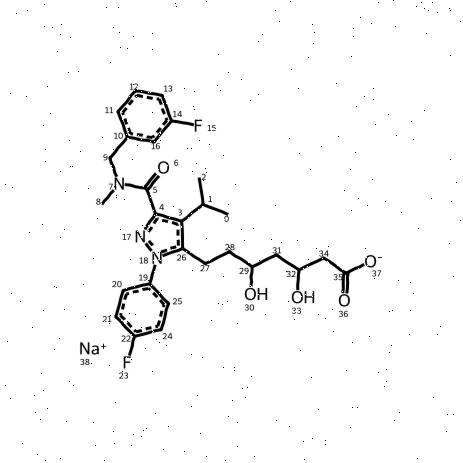 CC(C)c1c(C(=O)N(C)Cc2cccc(F)c2)nn(-c2ccc(F)cc2)c1CCC(O)CC(O)CC(=O)[O-].[Na+]